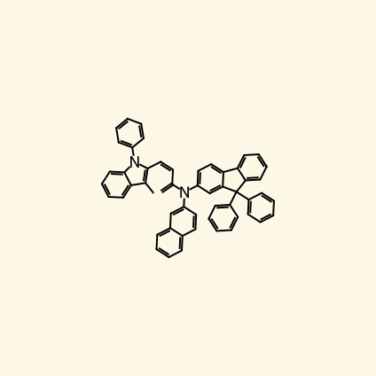 C=C(/C=C\c1c(C)c2ccccc2n1-c1ccccc1)N(c1ccc2c(c1)C(c1ccccc1)(c1ccccc1)c1ccccc1-2)c1ccc2ccccc2c1